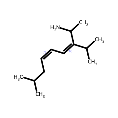 CC(C)C/C=C\C=C(\C(C)C)C(C)N